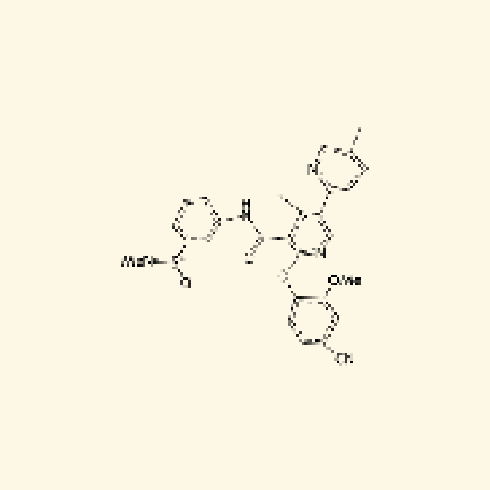 CN[S@+]([O-])c1cccc(NC(=O)c2c(Oc3ccc(C#N)cc3OC)ncc(-c3ccc(C)cn3)c2C)c1